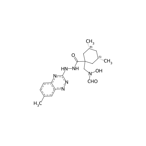 Cc1ccc2nc(NNC(=O)C3(CN(O)C=O)C[C@H](C)C[C@H](C)C3)nnc2c1